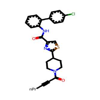 CCCC#CC(=O)N1CCC(c2nc(C(=O)Nc3ccccc3-c3ccc(Cl)cc3)cs2)CC1